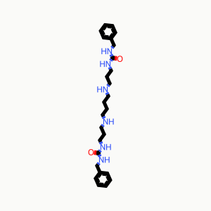 O=C(NCCCNCCCCNCCCNC(=O)NCc1ccccc1)NCc1ccccc1